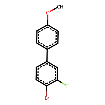 COc1ccc(-c2ccc(Br)c(F)c2)cc1